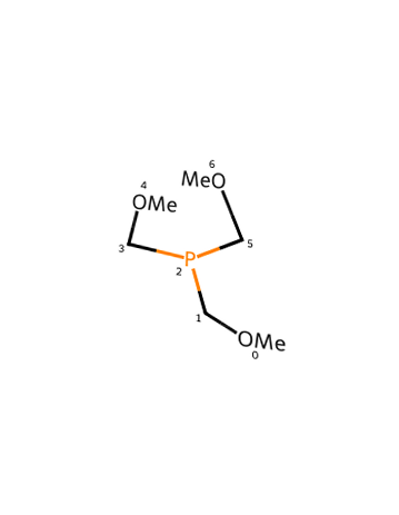 COCP(COC)COC